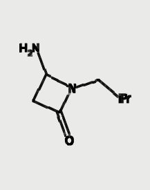 CC(C)CN1C(=O)CC1N